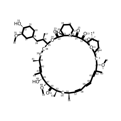 CO[C@H]1C[C@@H]2CC[C@@H](C)[C@@](O)(O2)C(=O)C(=O)N2CCCC[C@H]2C(=O)O[C@H]([C@H](C)C[C@@H]2CC[C@@H](O)[C@H](OC)C2)CC[C@H](C)/C=C(\C)[C@@H](O)[C@@H](OC)C(=O)[C@H](C)C[C@H](C)\C=C/C=C/C=C/1C